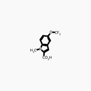 Cn1c(C(=O)O)cc2cc(OC(F)(F)F)ccc21